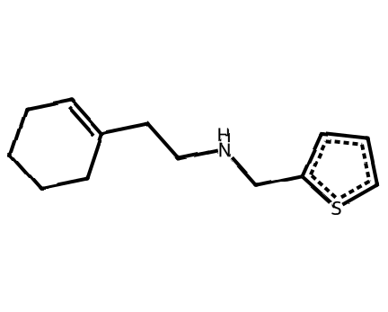 C1=C(CCNCc2cccs2)CCCC1